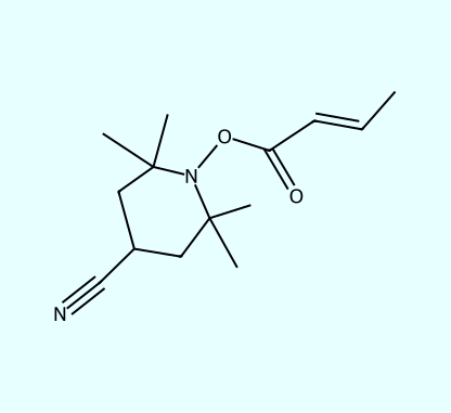 CC=CC(=O)ON1C(C)(C)CC(C#N)CC1(C)C